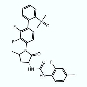 Cc1ccc(NC(=O)N[C@@H]2CC(C)N(c3ccc(-c4ccccc4P(C)(C)=O)c(F)c3F)C2=O)c(F)c1